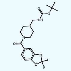 CC(C)(C)OC(=O)NCC1CCN(C(=O)c2ccc3c(c2)OC(F)(F)O3)CC1